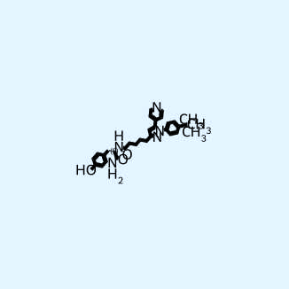 CC(C)(C)c1ccc(-n2nc(CCCCC(=O)N[C@@H](Cc3ccc(O)cc3)C(N)=O)cc2-c2ccncc2)cc1